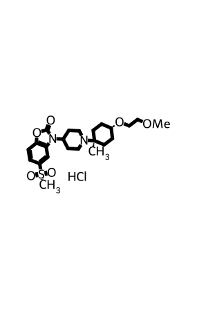 COCCO[C@H]1CC[C@](C)(N2CCC(n3c(=O)oc4ccc(S(C)(=O)=O)cc43)CC2)CC1.Cl